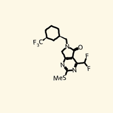 CSc1nc2c(c(C(F)F)n1)C(=O)N(C[C@@H]1CCC[C@H](C(F)(F)F)C1)C2